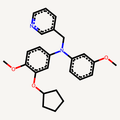 COc1cccc(N(Cc2cccnc2)c2ccc(OC)c(OC3CCCC3)c2)c1